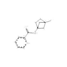 O=C(NC12CCC(F)(C1)C2)c1ccccn1